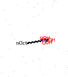 CCCCCCCCC=CCCCCCCCC(=O)/[P+]([O-])=C(\O)C(O)CO